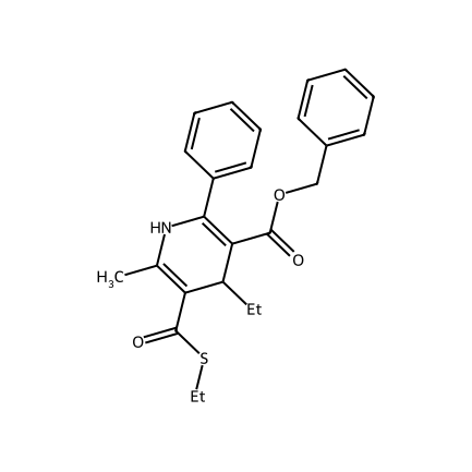 CCSC(=O)C1=C(C)NC(c2ccccc2)=C(C(=O)OCc2ccccc2)C1CC